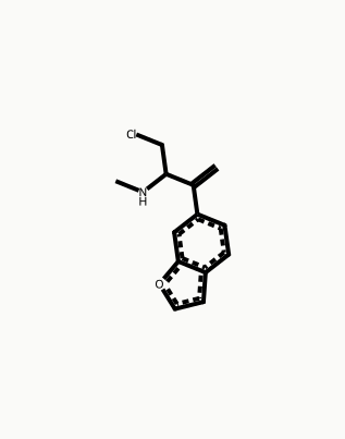 C=C(c1ccc2ccoc2c1)C(CCl)NC